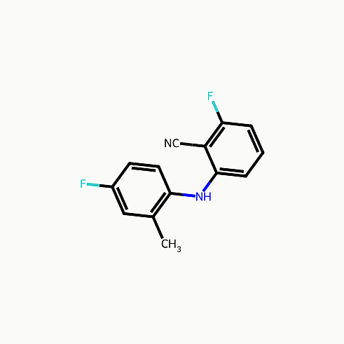 Cc1cc(F)ccc1Nc1cccc(F)c1C#N